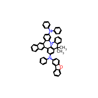 CC1(C)c2ccccc2N2c3cc(N(c4ccccc4)c4ccccc4)ccc3-c3cc4ccccc4cc3-c3cc(N(c4ccccc4)c4ccc5oc6ccccc6c5c4)cc1c32